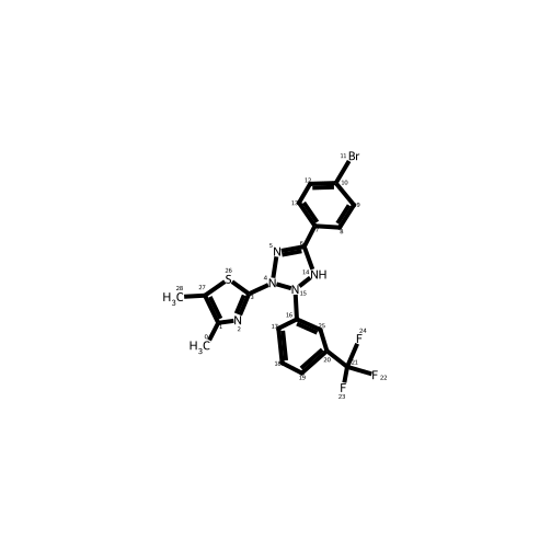 Cc1nc(N2N=C(c3ccc(Br)cc3)NN2c2cccc(C(F)(F)F)c2)sc1C